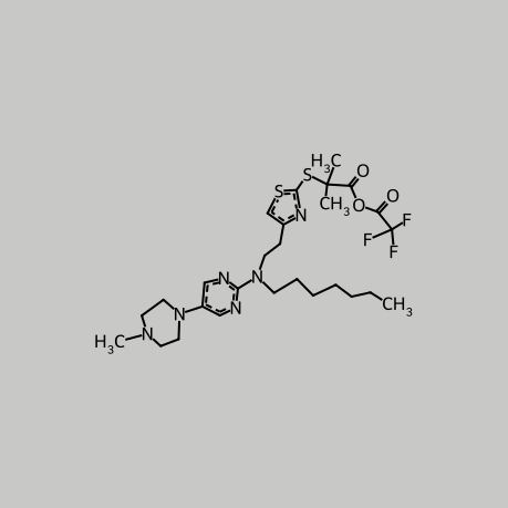 CCCCCCCN(CCc1csc(SC(C)(C)C(=O)OC(=O)C(F)(F)F)n1)c1ncc(N2CCN(C)CC2)cn1